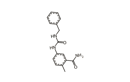 Cc1ccc(NC(=O)NCc2ccccc2)cc1C(N)=O